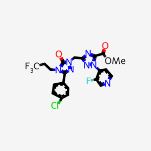 COC(=O)c1nc(Cn2nc(-c3ccc(Cl)cc3)n(CCC(F)(F)F)c2=O)nn1-c1ccncc1F